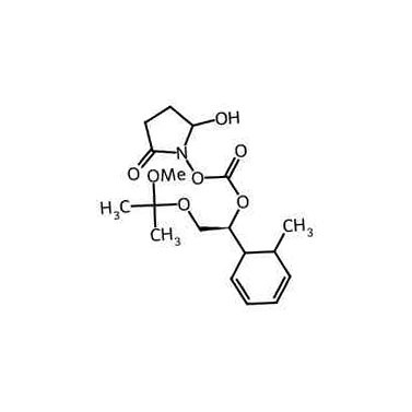 COC(C)(C)OC[C@@H](OC(=O)ON1C(=O)CCC1O)C1C=CC=CC1C